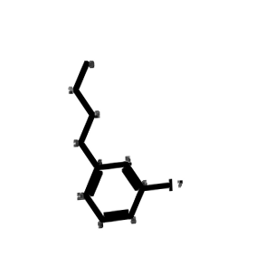 CCCCc1[c]c(I)ccc1